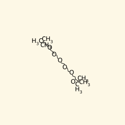 CC(C)(C)CCOCCOCCOCCOCCOCCC(=O)C(C)(C)C